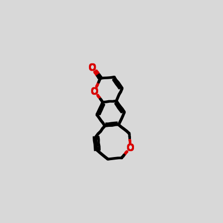 O=c1ccc2cc3c(cc2o1)C#CCCOC3